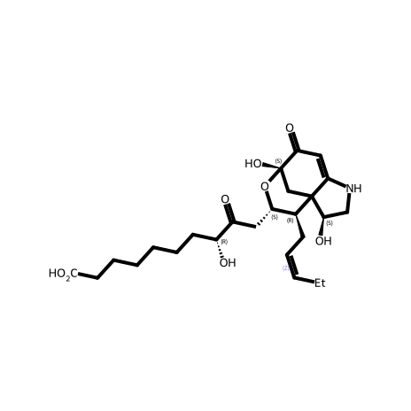 CC/C=C\C[C@H]1[C@H](CC(=O)[C@H](O)CCCCCCC(=O)O)O[C@@]2(O)CC13C(=CC2=O)NC[C@H]3O